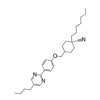 CCCCCCCC1(C#N)CCC(COc2ccc(-c3ncc(CCCC)cn3)cc2)CC1